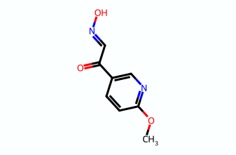 COc1ccc(C(=O)/C=N/O)cn1